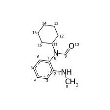 CNc1ccccc1N(C=O)C1CCCCC1